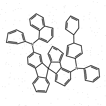 C1=CCC(C2C=CC(N(c3ccccc3)c3cccc4c3-c3ccccc3C43c4ccccc4-c4ccc(N(c5ccccc5)c5cccc6ccccc56)cc43)=CC2)C=C1